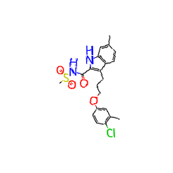 Cc1ccc2c(CCCOc3ccc(Cl)c(C)c3)c(C(=O)NS(C)(=O)=O)[nH]c2c1